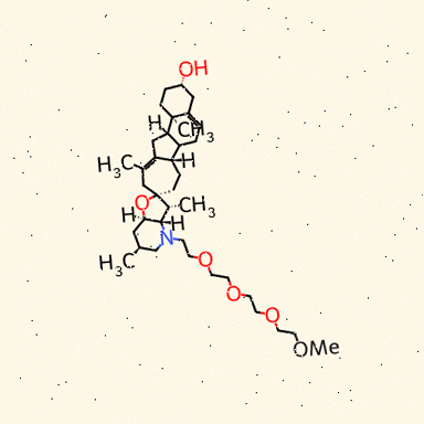 COCCOCCOCCOCCN1C[C@@H](C)C[C@H]2O[C@]3(CC[C@@H]4C(=C(C)C3)C[C@H]3C4CC=C4C[C@@H](O)CC[C@@]43C)[C@H](C)[C@@H]21